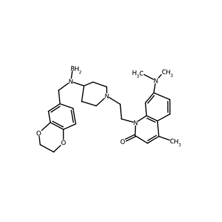 BN(Cc1ccc2c(c1)OCCO2)C1CCN(CCn2c(=O)cc(C)c3ccc(N(C)C)cc32)CC1